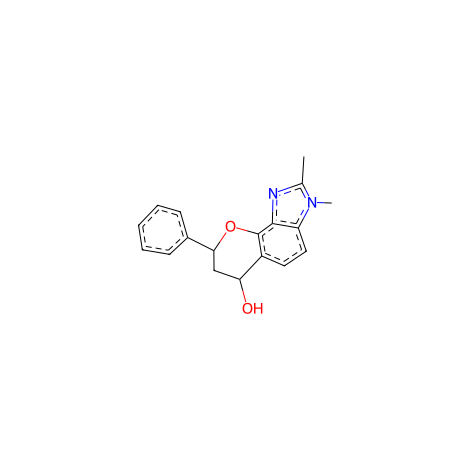 Cc1nc2c3c(ccc2n1C)C(O)CC(c1ccccc1)O3